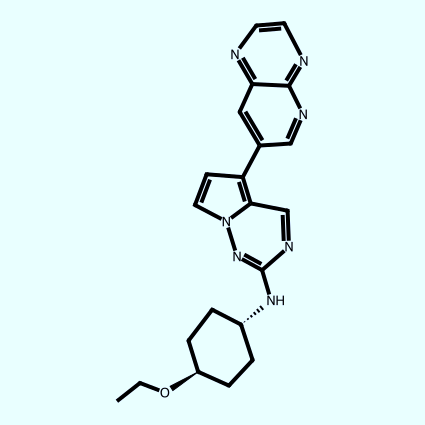 CCO[C@H]1CC[C@H](Nc2ncc3c(-c4cnc5nccnc5c4)ccn3n2)CC1